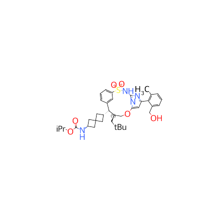 Cc1cccc(CO)c1-c1cc2nc(n1)NS(=O)(=O)c1cccc(c1)C([C@H]1CC3(C[C@H](NC(=O)OC(C)C)C3)C1)[C@H](CC(C)(C)C)CO2